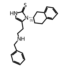 S=c1[nH]cc(CCNCc2ccccc2)n1[C@H]1CCc2ccccc2C1